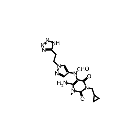 Cn1c(N)c(N(C=O)c2cnn(CCc3nnn[nH]3)c2)c(=O)n(CC2CC2)c1=O